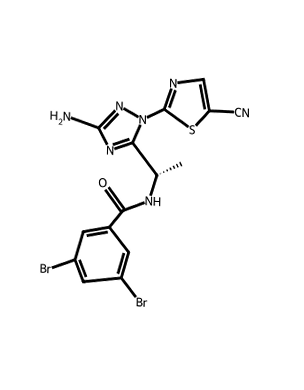 C[C@H](NC(=O)c1cc(Br)cc(Br)c1)c1nc(N)nn1-c1ncc(C#N)s1